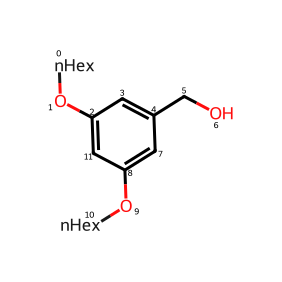 CCCCCCOc1cc(CO)cc(OCCCCCC)c1